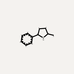 CC1CCC(c2ccccc2)S1